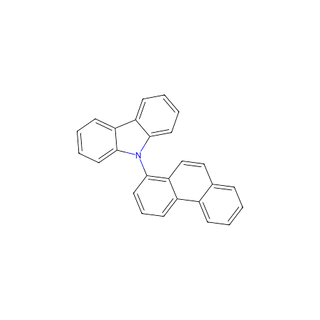 c1ccc2c(c1)ccc1c(-n3c4ccccc4c4ccccc43)cccc12